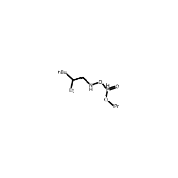 CCCCC(CC)CNO[PH](=O)OC(C)C